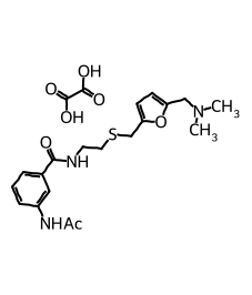 CC(=O)Nc1cccc(C(=O)NCCSCc2ccc(CN(C)C)o2)c1.O=C(O)C(=O)O